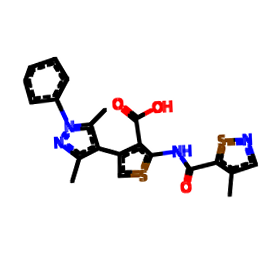 Cc1cnsc1C(=O)Nc1scc(-c2c(C)nn(-c3ccccc3)c2C)c1C(=O)O